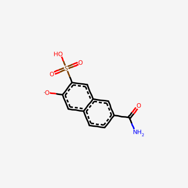 NC(=O)c1ccc2cc([O])c(S(=O)(=O)O)cc2c1